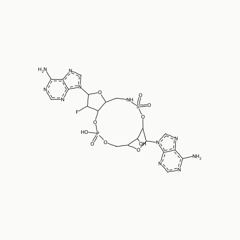 Nc1ncnc2c1ncn2C1OC2CNS(=O)(=O)OC3C(O)C(COP(=O)(O)OC2C1F)OC3n1cnc2c(N)ncnc21